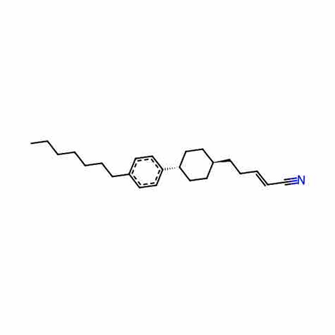 CCCCCCCc1ccc([C@H]2CC[C@H](CCC=CC#N)CC2)cc1